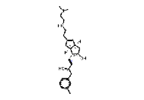 Cc1cccc(C[C@@H](O)/C=C/[C@@H]2[C@H]3CC(CCNCCN(C)C)=C[C@H]3C[C@H]2O)c1